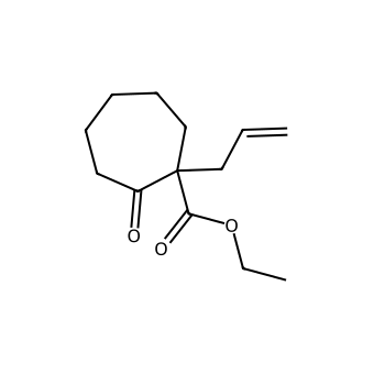 C=CCC1(C(=O)OCC)CCCCCC1=O